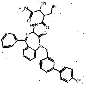 CCC[C@H](C(N)=O)[C@@H](CC(C)C)C(=O)NC1N=C(c2ccccc2)c2ccccc2N(Cc2cccc(-c3ccc(C(F)(F)F)cc3)c2)C1=O